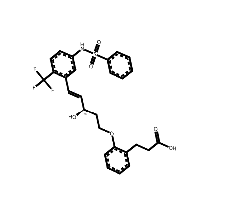 O=C(O)CCc1ccccc1OCC[C@@H](O)/C=C/c1cc(NS(=O)(=O)c2ccccc2)ccc1C(F)(F)F